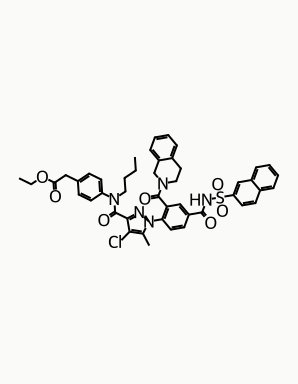 CCCCN(C(=O)c1nn(-c2ccc(C(=O)NS(=O)(=O)c3ccc4ccccc4c3)cc2C(=O)N2CCc3ccccc3C2)c(C)c1Cl)c1ccc(CC(=O)OCC)cc1